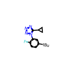 CC(C)(C)c1ccc(F)c(-n2nnnc2C2CC2)c1